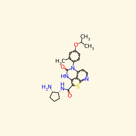 Cc1cc(OC(C)C)ccc1N1C(=O)Nc2c(C(=O)N[C@@H]3CCC[C@@H]3N)sc3nccc1c23